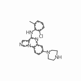 Cc1cccc(Cl)c1Nc1nc2cc(N3CCNCC3)ccc2n2cncc12